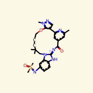 Cc1cc2cc(n1)-c1cnn(C)c1OCCCC(C)(C)CN1/C(=N/C2=O)Nc2ccc(N=S(C)(C)=O)cc21